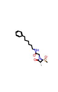 C[C@@H]1C(=O)N(CC(=O)NCCCCCCc2ccccc2)[C@@H]1[S+](C)[O-]